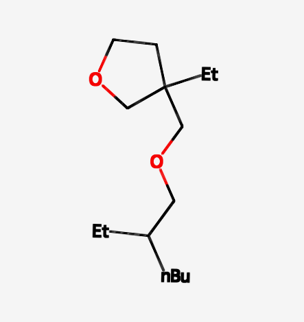 CCCCC(CC)COCC1(CC)CCOC1